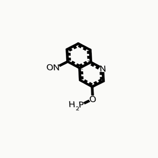 O=Nc1cccc2ncc(OP)cc12